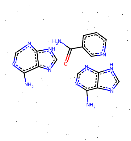 NC(=O)c1cccnc1.Nc1ncnc2[nH]cnc12.Nc1ncnc2[nH]cnc12